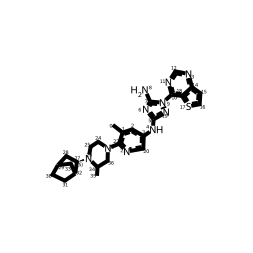 Cc1cc(Nc2nc(N)n(-c3ncnc4ccsc34)n2)cnc1N1CCN([C@H]2CC3CCC2C3)C(C)C1